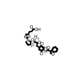 CC(C)(O[C@H]1CCCN1c1ncc(CCC(=O)O)s1)C(=O)Cc1cc(Cl)c(NC(=O)c2coc3ccccc23)cc1Cl